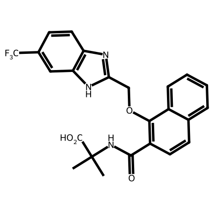 CC(C)(NC(=O)c1ccc2ccccc2c1OCc1nc2ccc(C(F)(F)F)cc2[nH]1)C(=O)O